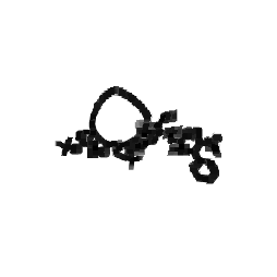 CN(C)C(=O)C(NC(=O)CNC(=O)C(O)[C@@H]1CCCCCCCCCC(C)(C)C(NC(=O)OC(C)(C)C)C(=O)N2CC3[C@@H]([C@H]2C(=O)N1)C3(C)C)c1ccccc1